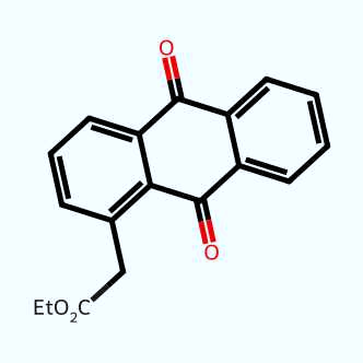 CCOC(=O)Cc1cccc2c1C(=O)c1ccccc1C2=O